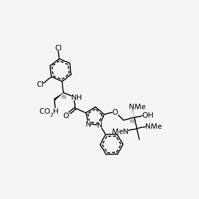 CNC(C)(NC)[C@](O)(COc1cc(C(=O)N[C@@H](CC(=O)O)c2ccc(Cl)cc2Cl)nn1-c1ccccc1)NC